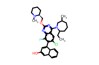 CCC1CCCC(C)CN1c1nc(OC[C@@H]2CCCCN2C)nc2c(F)c(C3=CC(O)=CC4C=CC=CC34)c(Cl)cc12